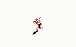 C#CCOC(=O)C(C)OS(=O)(=O)[O-].[Li+]